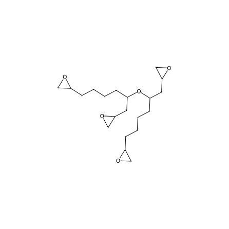 C(CCC(CC1CO1)OC(CCCCC1CO1)CC1CO1)CC1CO1